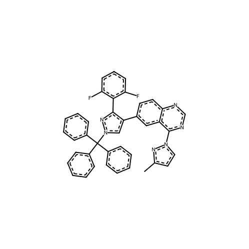 Cc1ccn(-c2ncnc3ccc(-c4cn(C(c5ccccc5)(c5ccccc5)c5ccccc5)nc4-c4c(F)cccc4F)cc23)n1